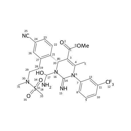 COC(=O)C1=C(C)N(c2cccc(C(F)(F)F)c2)C(=N)N(C(N)O)[C@@H]1c1ccc(C#N)cc1CCN(C)S(C)(=O)=O